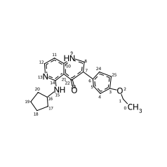 CCOc1ccc(-c2c[nH]c3ccnc(NC4CCCC4)c3c2=O)cc1